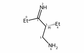 CCC(=N)[C@H](CC)CN